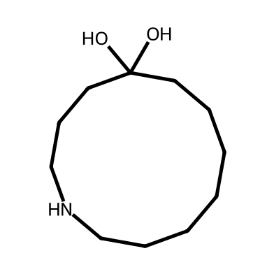 OC1(O)CCCCCCCNCCC1